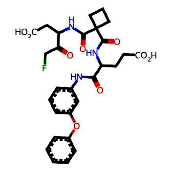 O=C(O)CCC(NC(=O)C1(C(=O)NC(CC(=O)O)C(=O)CF)CCC1)C(=O)Nc1cccc(Oc2ccccc2)c1